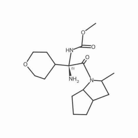 COC(=O)N[C@](N)(C(=O)N1C(C)CC2CCCC21)C1CCOCC1